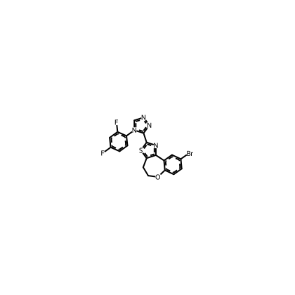 Fc1ccc(-n2cnnc2-c2nc3c(s2)CCOc2ccc(Br)cc2-3)c(F)c1